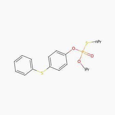 CCCSP(=O)(Oc1ccc(Sc2ccccc2)cc1)OC(C)C